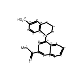 CNC(=O)c1cc2ccccc2c(N2CCCc3cc(C(=O)O)ccc32)n1